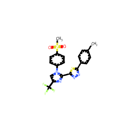 Cc1ccc(-c2nnc(-c3nc(C(F)(F)F)cn3-c3ccc(S(C)(=O)=O)cc3)s2)cc1